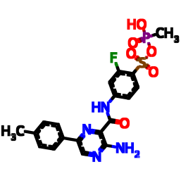 Cc1ccc(-c2cnc(N)c(C(=O)Nc3ccc(S(=O)(=O)OP(C)(=O)O)c(F)c3)n2)cc1